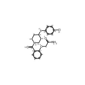 NC(=O)COc1ccccc1C(=O)N1CCC(Sc2ccc(Cl)cc2)CC1